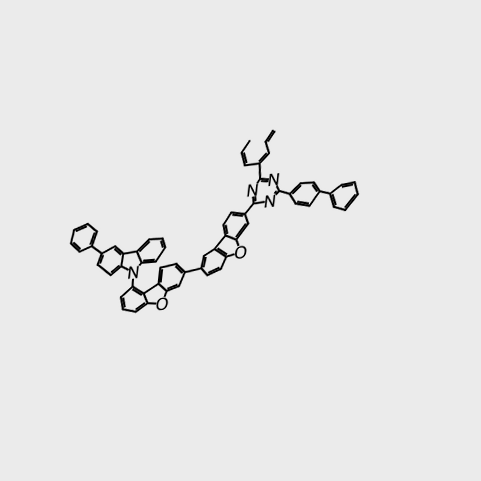 C=C/C=C(\C=C/C)c1nc(-c2ccc(-c3ccccc3)cc2)nc(-c2ccc3c(c2)oc2ccc(-c4ccc5c(c4)oc4cccc(-n6c7ccccc7c7cc(-c8ccccc8)ccc76)c45)cc23)n1